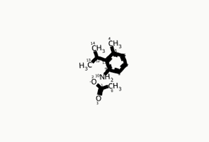 CC([O])=O.Cc1cccc(N)c1C(C)C